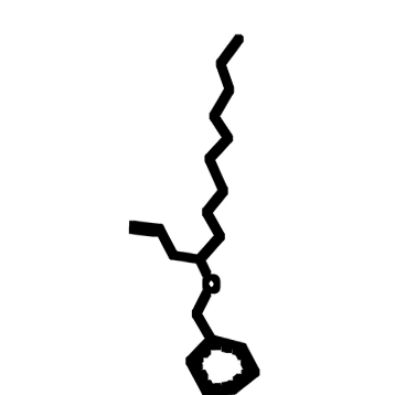 C=CCC(CCCCCCCCC)OCc1ccccc1